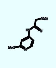 CNCC(=O)Nc1ccnc(OC)c1